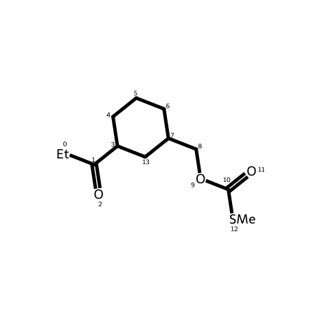 CCC(=O)C1CCCC(COC(=O)SC)C1